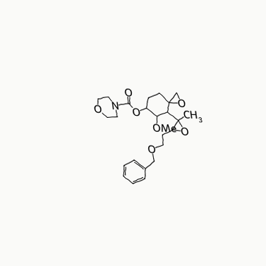 COC1C(OC(=O)N2CCOCC2)CCC2(CO2)C1C1(C)OC1CCOCc1ccccc1